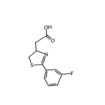 O=C(O)CC1CSC(c2cccc(F)c2)=N1